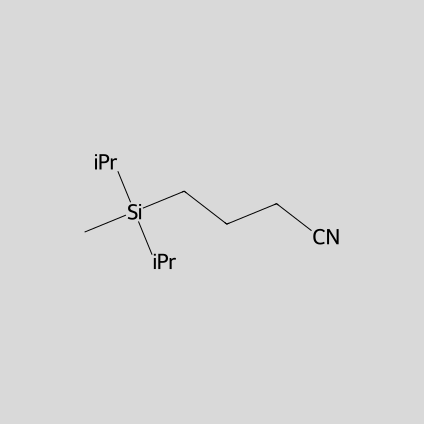 CC(C)[Si](C)(CCCC#N)C(C)C